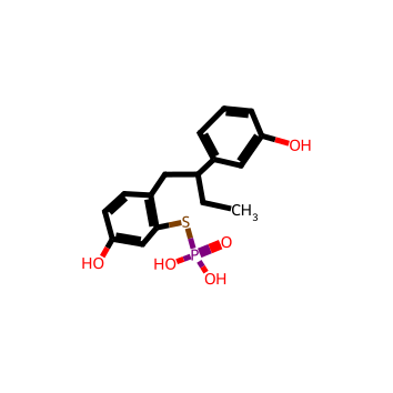 CCC(Cc1ccc(O)cc1SP(=O)(O)O)c1cccc(O)c1